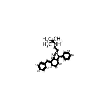 CC(C)(C)NCCN1N=C2C(=Cc3ccccc3)CCCC2C1c1ccccc1